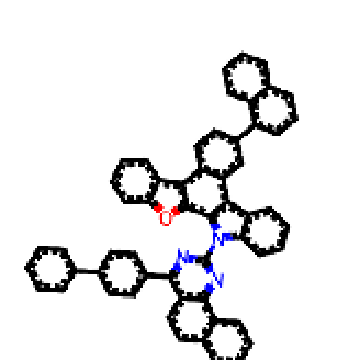 c1ccc(-c2ccc(-c3nc(-n4c5ccccc5c5c6cc(-c7cccc8ccccc78)ccc6c6c7ccccc7oc6c54)nc4c3ccc3ccccc34)cc2)cc1